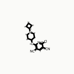 N#Cc1cc(C#N)c(OC2CCN(C3CCC3)CC2)nc1Cl